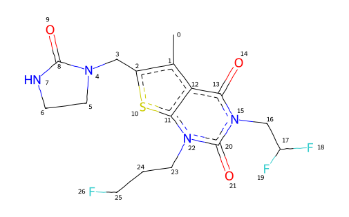 Cc1c(CN2CCNC2=O)sc2c1c(=O)n(CC(F)F)c(=O)n2CCCF